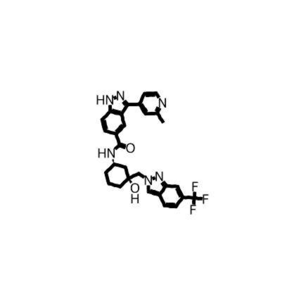 Cc1cc(-c2n[nH]c3ccc(C(=O)N[C@H]4CCC[C@@](O)(Cn5cc6ccc(C(F)(F)F)cc6n5)C4)cc23)ccn1